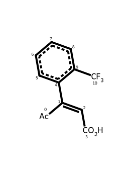 CC(=O)C(=CC(=O)O)c1ccccc1C(F)(F)F